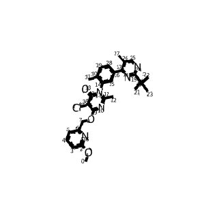 COc1cccc(COc2nc(C)n(-c3cc(-c4nc(C(C)(C)C)ncc4C)ccc3C)c(=O)c2Cl)n1